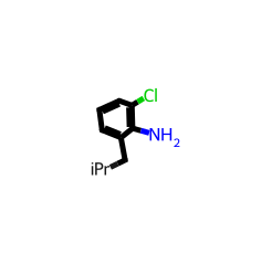 CC(C)Cc1cccc(Cl)c1N